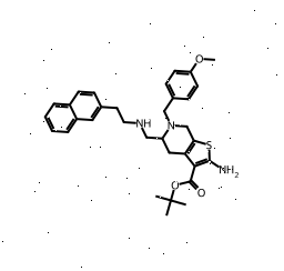 COc1ccc(CN2Cc3sc(N)c(C(=O)OC(C)(C)C)c3CC2CNCCc2ccc3ccccc3c2)cc1